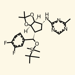 Cc1ncnc(N[C@@H]2C[C@H](C(O[Si](C)(C)C(C)(C)C)c3ccc(F)c(F)c3)[C@H]3OC(C)(C)O[C@H]32)n1